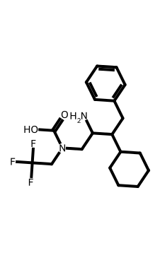 NC(CN(CC(F)(F)F)C(=O)O)C(Cc1ccccc1)C1CCCCC1